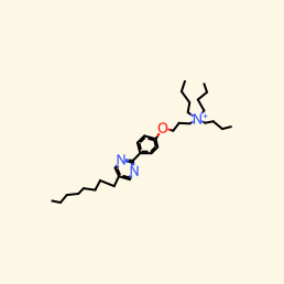 CCCCCCCCc1cnc(-c2ccc(OCCC[N+](CCCC)(CCCC)CCCC)cc2)nc1